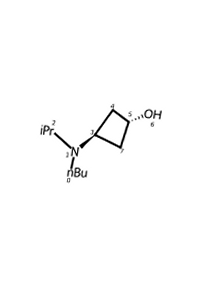 CCCCN(C(C)C)[C@H]1C[C@H](O)C1